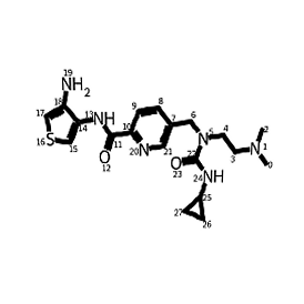 CN(C)CCN(Cc1ccc(C(=O)Nc2cscc2N)nc1)C(=O)NC1CC1